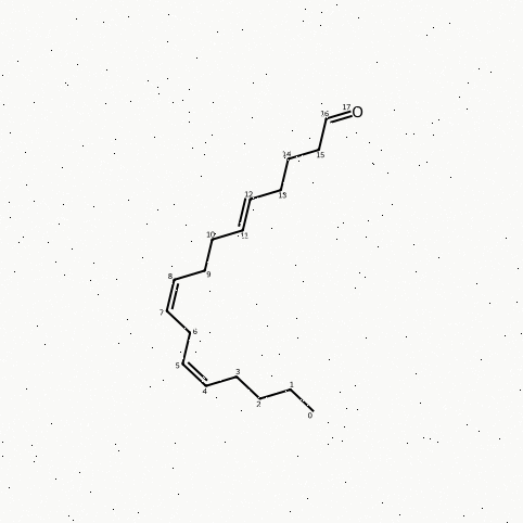 CCCC/C=C\C/C=C\CC/C=C/CCCC=O